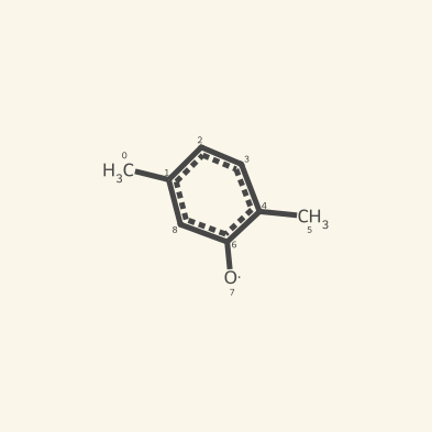 Cc1ccc(C)c([O])c1